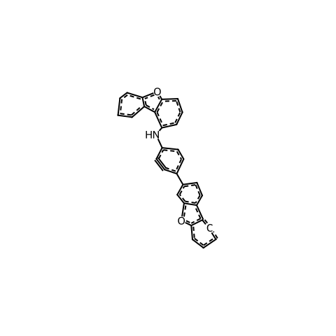 c1c(Nc2cccc3oc4ccccc4c23)ccc(-c2ccc3c(c2)oc2ccccc23)c#1